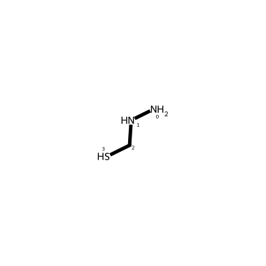 NNCS